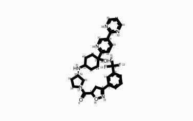 O=C(C1CC(c2cccc(C(F)(F)F)c2)=NO1)N1CC[C@H](NC2CCC(O)(c3ccc(-c4ncccn4)cn3)CC2)C1